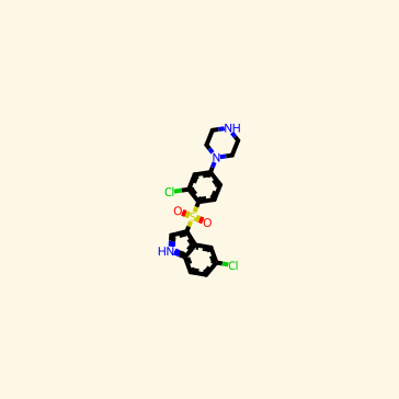 O=S(=O)(c1ccc(N2CCNCC2)cc1Cl)c1c[nH]c2ccc(Cl)cc12